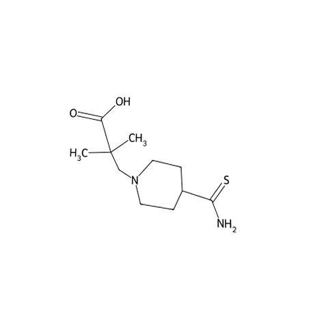 CC(C)(CN1CCC(C(N)=S)CC1)C(=O)O